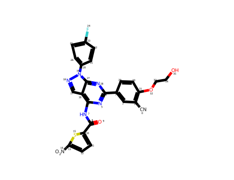 N#Cc1cc(-c2nc(NC(=O)c3ccc([N+](=O)[O-])s3)c3cnn(-c4ccc(F)cc4)c3n2)ccc1OCCO